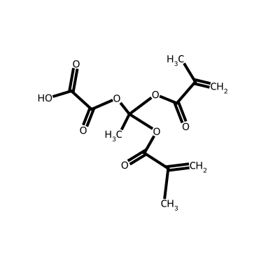 C=C(C)C(=O)OC(C)(OC(=O)C(=C)C)OC(=O)C(=O)O